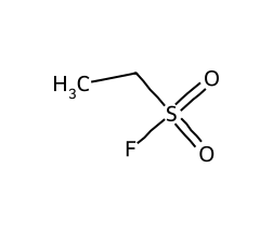 CCS(=O)(=O)F